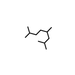 C[C](CCC(C)C)CC(C)C